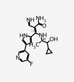 C[C@@H](N/C(=C(/C=N)C(N)=O)c1cc(-c2cncc(F)c2)c[nH]1)C(O)C1CC1